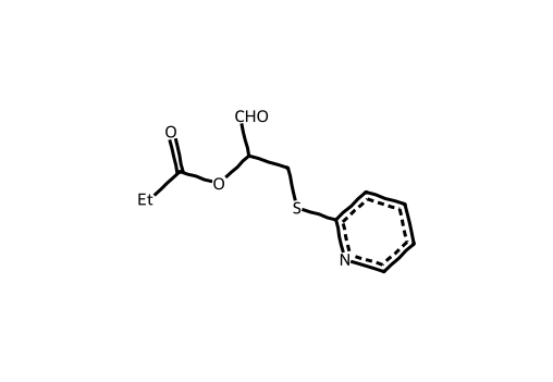 CCC(=O)OC(C=O)CSc1ccccn1